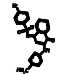 CCc1ccc(S(=O)(=O)/N=C2/C=C(Nc3ccc(C(=O)O)cc3)C(=O)c3ccccc32)cc1